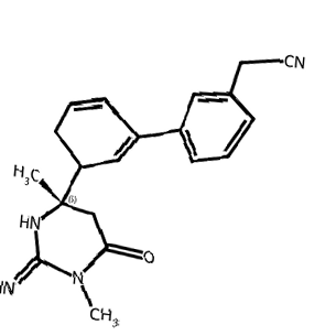 CN1C(=N)N[C@](C)(C2C=C(c3cccc(CC#N)c3)C=CC2)CC1=O